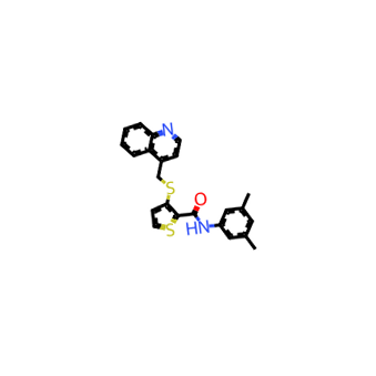 Cc1cc(C)cc(NC(=O)c2sccc2SCc2ccnc3ccccc23)c1